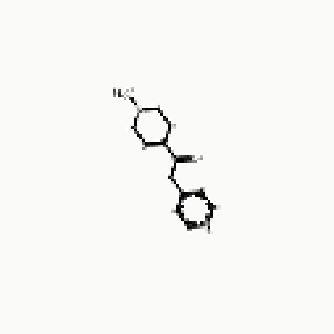 CN1CCC(C(=O)Cc2ccncc2)CC1